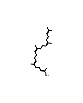 [CH2]CC(C)=CCCC(C)=CCCC=C(C)CCC=C(C)CCC=C(C)C